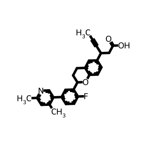 CC#CC(CC(=O)O)c1ccc2c(c1)CCC(c1cc(-c3cnc(C)cc3C)ccc1F)O2